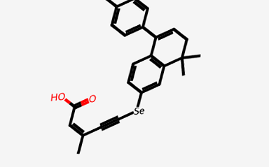 CC(C#C[Se]c1ccc2c(c1)C(C)(C)CC=C2c1ccc(C)cc1)=CC(=O)O